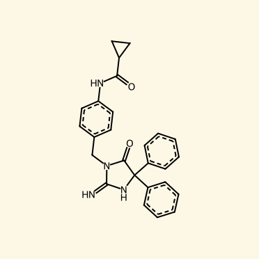 N=C1NC(c2ccccc2)(c2ccccc2)C(=O)N1Cc1ccc(NC(=O)C2CC2)cc1